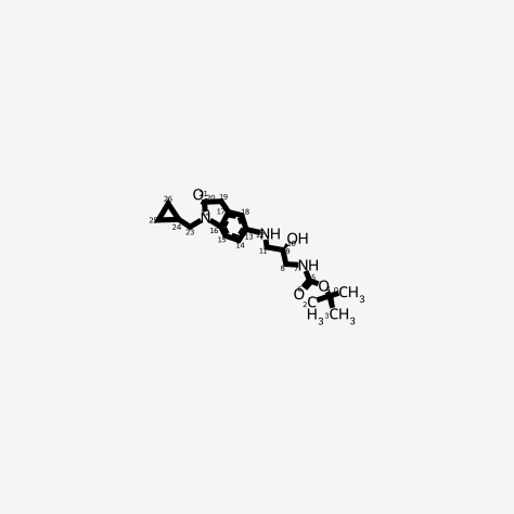 CC(C)(C)OC(=O)NC[C@H](O)CNc1ccc2c(c1)CC(=O)N2CC1CC1